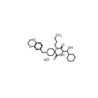 CCCCN1C(=O)C(C(O)C2CCCCC2)NC(=O)C12CCN(Cc1ccc3c(c1)OCCO3)CC2.Cl